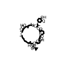 CO[C@@H]1C[C@H](C[C@@H](C)[C@@H]2CC[C@H](C)/C=C(\C)[C@@H](O)[C@@H](OC)C(=O)[C@H](C)C[C@H](C)/C=C/C=C/C=C(\C)[C@H](NS(=O)(=O)C3CC3)C[C@@H]3CC[C@@H](C)[C@@](O)(O3)C(=O)C(=O)N3CCCC[C@H]3C(=O)O2)CC[C@H]1O